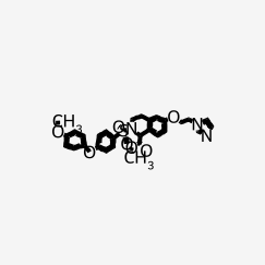 COC(=O)C1c2ccc(OCCn3ccnc3)cc2CCN1S(=O)(=O)c1ccc(Oc2ccc(OC)cc2)cc1